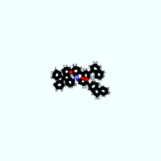 c1ccc(C2(c3ccccc3)c3ccccc3-c3c(N(c4ccc(-c5ccc6c(ccc7ccccc76)c5)cc4)c4ccccc4-c4cccc(-c5cccc6ccccc56)c4)cccc32)cc1